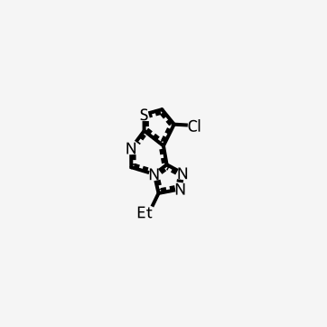 CCc1nnc2c3c(Cl)csc3ncn12